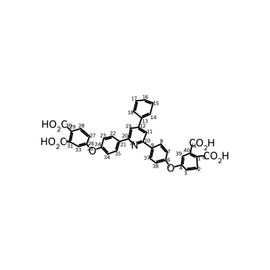 O=C(O)c1ccc(Oc2ccc(-c3cc(-c4ccccc4)cc(-c4ccc(Oc5ccc(C(=O)O)c(C(=O)O)c5)cc4)n3)cc2)cc1C(=O)O